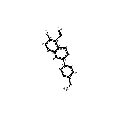 NCc1ccc(-c2ccc3c(C=O)c(O)ccc3c2)cc1